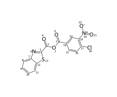 O=C(OC(=O)c1nc2ccccc2s1)c1ccc(Cl)c([N+](=O)[O-])c1